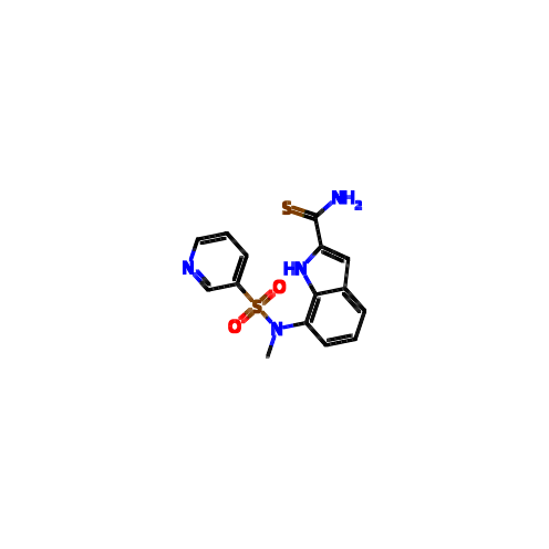 CN(c1cccc2cc(C(N)=S)[nH]c12)S(=O)(=O)c1cccnc1